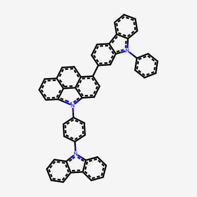 c1ccc(-n2c3ccccc3c3ccc(-c4ccc5c6c4ccc4cccc(c46)n5-c4ccc(-n5c6ccccc6c6ccccc65)cc4)cc32)cc1